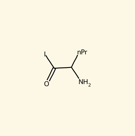 CCCC(N)C(=O)I